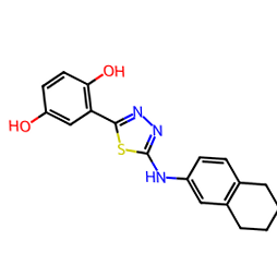 Oc1ccc(O)c(-c2nnc(Nc3ccc4c(c3)CCCC4)s2)c1